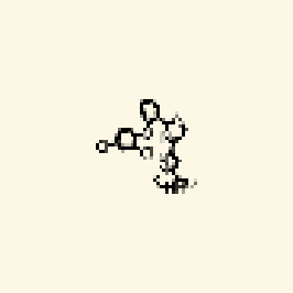 O=C1NCCn2nc(-c3ccnc(-c4ccccc4Oc4ccc(Cl)cc4Cl)n3)cc21